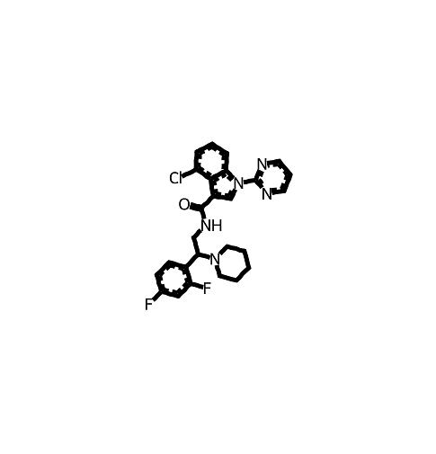 O=C(NCC(c1ccc(F)cc1F)N1CCCCC1)c1cn(-c2ncccn2)c2cccc(Cl)c12